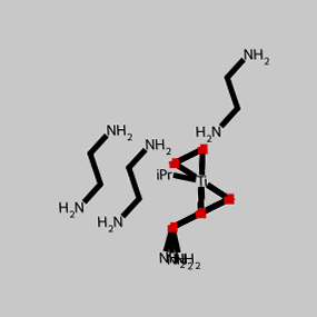 C[CH](C)[Ti]123456([CH2]CN)([CH2]CN)([CH2]CN)([CH2][CH2]1)([CH2][CH2]2)([CH2][CH2]3)([CH2][CH2]4)([CH2][CH2]5)[CH2][CH2]6.NCCN.NCCN.NCCN